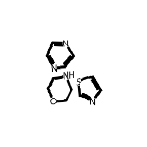 C1COCCN1.c1cnccn1.c1cscn1